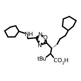 CC(C)(C)C(C(=O)O)[C@@H](CCCC1CCCCC1)c1nc(CNC2CCCCC2)no1